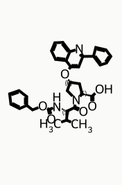 CC(C)[C@H](NC(=O)OCc1ccccc1)C(=O)N1C[C@H](Oc2cc(-c3ccccc3)nc3ccccc23)C[C@H]1C(=O)O